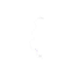 C=N/C=C\SCCCCCCC